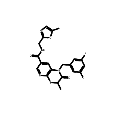 Cc1cnc(CNC(=O)c2cnc3c(c2)N(Cc2cc(F)cc(F)c2)C(=O)C(C)S3)o1